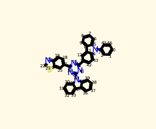 c1ccc(-n2c3ccccc3c3cc(-c4nc(-c5ccc6ncsc6c5)nc(-n5c6ccccc6c6ccccc65)n4)ccc32)cc1